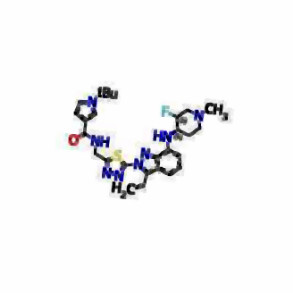 C=Cc1c2cccc(N[C@@H]3CCN(C)C[C@@H]3F)c2nn1-c1nnc(CNC(=O)c2ccn(C(C)(C)C)c2)s1